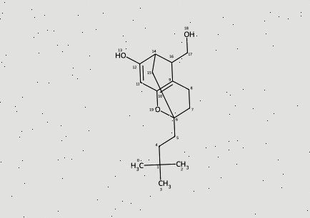 CC(C)(C)CCC12CCC3=C(C=C(O)C(C1)C3CO)O2